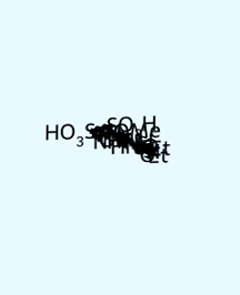 CCN(CC)S(=O)(=O)c1ccc(NNc2cc(OC)c(/N=N/c3c(S(=O)(=O)O)cc4cc(S(=O)(=O)O)cc(NC(C)=O)c4c3O)cc2C)cc1